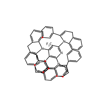 FC(F)(F)c1c(N2C(c3ccccc3)=CCc3ccccc32)nc(N2C(c3ccccc3)=CCc3ccccc32)c(N2C(c3ccccc3)=CCc3ccccc32)c1N1C(c2ccccc2)=CCc2ccccc21